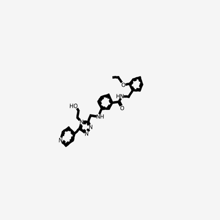 CCOc1ccccc1CNC(=O)c1cccc(NCc2nnc(-c3ccncc3)n2CCO)c1